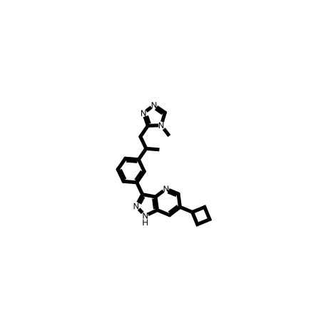 CC(Cc1nncn1C)c1cccc(-c2n[nH]c3cc(C4CCC4)cnc23)c1